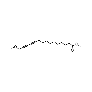 COCC#CC#CCCCCCCCCCC(=O)OC